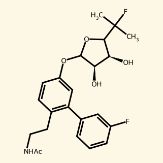 CC(=O)NCCc1ccc(OC2OC(C(C)(C)F)[C@@H](O)[C@H]2O)cc1-c1cccc(F)c1